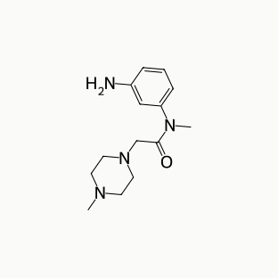 CN1CCN(CC(=O)N(C)c2cccc(N)c2)CC1